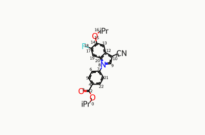 CC(C)OC(=O)c1ccc(-n2cc(C#N)c3cc(OC(C)C)c(F)cc32)cc1